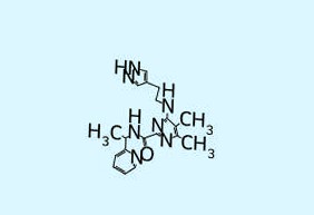 Cc1nc(C(=O)NC(C)c2ccccn2)nc(NCCc2cn[nH]c2)c1C